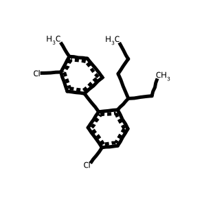 CCCC(CC)c1ccc(Cl)cc1-c1ccc(C)c(Cl)c1